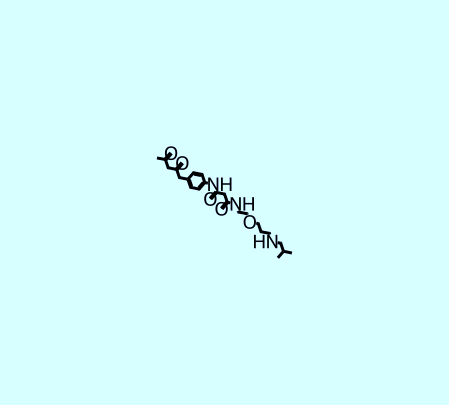 CC(=O)CC(=O)Cc1ccc(NC(=O)CC(=O)NCCOCCCNCC(C)C)cc1